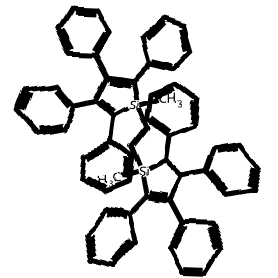 C[Si]1(CC[Si]2(C)C(c3ccccc3)=C(c3ccccc3)C(c3ccccc3)C2c2ccccc2)C(c2ccccc2)=C(c2ccccc2)C(c2ccccc2)=C1c1ccccc1